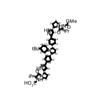 COC(=O)N[C@H](C(=O)N1CCC[C@H]1c1cc(-c2ccc([C@@H]3CC[C@@H](c4ccc(-c5cc([C@@H]6CCCN6C(=O)[C@@H](NC(=O)O)C(C)C)[nH]n5)cc4)N3c3ccc(C(C)(C)C)cc3)cc2)n[nH]1)C(C)C